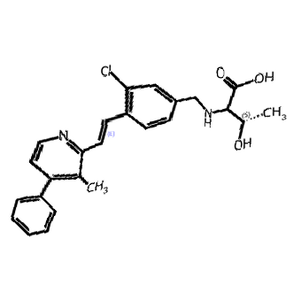 Cc1c(-c2ccccc2)ccnc1/C=C/c1ccc(CNC(C(=O)O)[C@H](C)O)cc1Cl